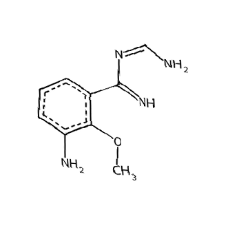 COc1c(N)cccc1C(=N)/N=C\N